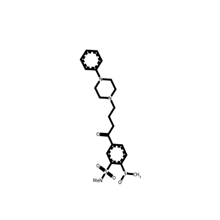 CNS(=O)(=O)c1cc(C(=O)CCCN2CCN(c3ccccc3)CC2)ccc1[S+](C)[O-]